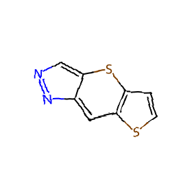 c1cc2sc3cnnc-3cc2s1